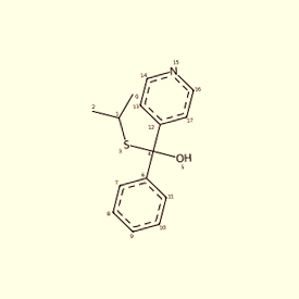 CC(C)SC(O)(c1ccccc1)c1ccncc1